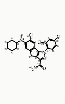 CN(c1cc2c(cc1Cl)-c1c(c(C(N)=O)nn1-c1ccc(Cl)cc1Cl)C2)C1CCCCC1